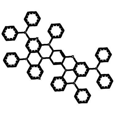 C1=C2Oc3cc(N(c4ccccc4)c4ccccc4)cc4c3B(C2=CC2B3c5cnccc5N(c5ccccc5)c5cc(N(c6ccccc6)c6ccccc6)nc(c53)N(c3ccccc3)C12)c1ccccc1N4c1ccccc1